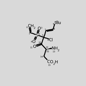 C=CS(=O)(=O)C(Cl)(C=CC(C)(C)C)C(=O)[C@@H](N)CC(=O)O